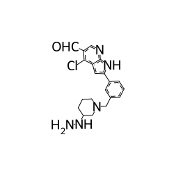 NNC1CCCN(Cc2cccc(-c3cc4c(Cl)c(C=O)cnc4[nH]3)c2)C1